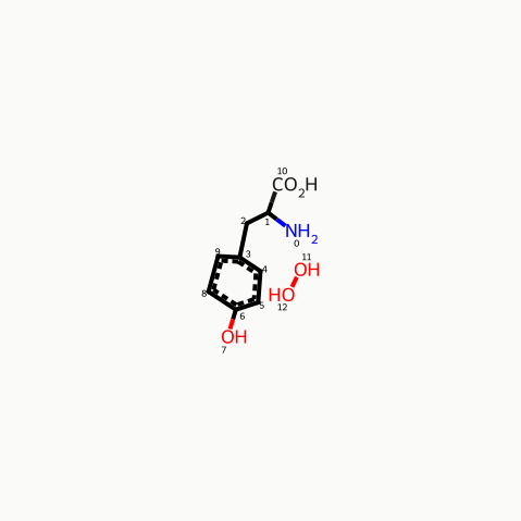 NC(Cc1ccc(O)cc1)C(=O)O.OO